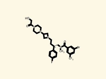 CN(C[C@@H](CCN1CC(N2CCN(C(=O)CO)CC2)C1)c1ccc(F)cc1)C(=O)c1cc(Br)cc(C(F)(F)F)c1